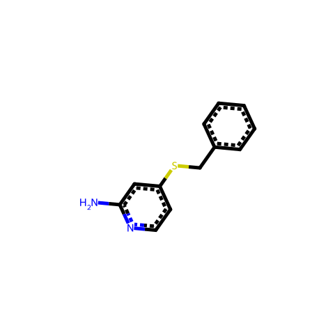 Nc1cc(SCc2ccccc2)ccn1